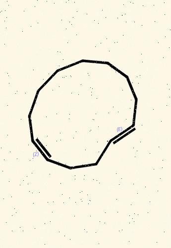 [C]1=C/CCCCCCC/C=C\CC/1